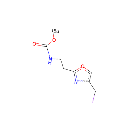 CC(C)(C)OC(=O)NCCc1nc(CI)co1